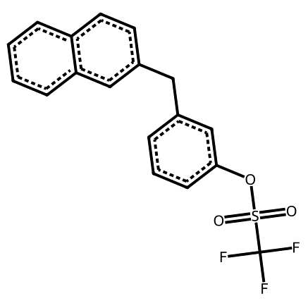 O=S(=O)(Oc1cccc(Cc2ccc3ccccc3c2)c1)C(F)(F)F